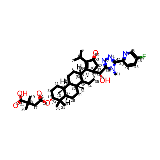 CC(C)C1=C2[C@H]3CC[C@@H]4[C@@]5(C)CC[C@H](OC(=O)CC(C)(C)C(=O)O)C(C)(C)[C@@H]5CC[C@@]4(C)[C@]3(C)CC[C@@]2([C@H](O)c2nnc(-c3ccc(F)cn3)n2C)CC1=O